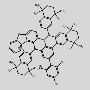 Cc1cc(C)c(-c2cc3c4c(c2)N(c2cc5c(cc2C)C(C)(C)CCC5(C)C)c2c(ccc5oc6ccccc6c25)B4N(c2ccc4c(c2)C(C)(C)CCC4(C)C)c2cc4c(cc2-3)C(C)(C)CCC4(C)C)c(C)c1